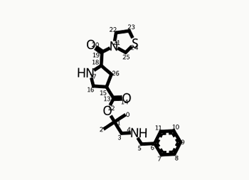 CC(C)(CNCc1ccccc1)OC(=O)C1CNC(C(=O)N2CCSC2)C1